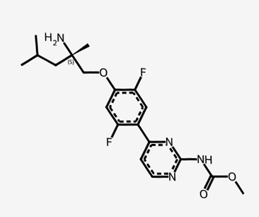 COC(=O)Nc1nccc(-c2cc(F)c(OC[C@@](C)(N)CC(C)C)cc2F)n1